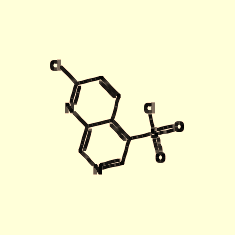 O=S(=O)(Cl)c1cncc2nc(Cl)ccc12